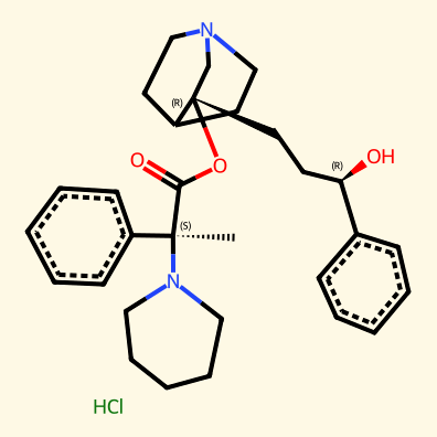 C[C@@](C(=O)O[C@@]1(CC[C@@H](O)c2ccccc2)CN2CCC1CC2)(c1ccccc1)N1CCCCC1.Cl